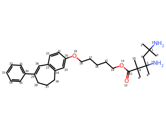 CC(C)(N)CC(C)(N)C(C)(C)C(=O)OCCCCCOc1ccc2c(c1)CCCC(c1ccccc1)=C2